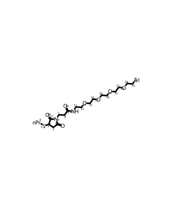 CCCSC1CC(=O)N(CCC(=O)NCCOCCOCCOCCOCCC(C)=O)C1=O